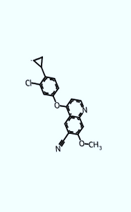 COc1cc2nccc(Oc3ccc(C4[CH]C4)c(Cl)c3)c2cc1C#N